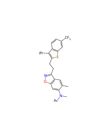 CC(=O)N(C)c1cc2onc(CCc3sc4cc(C(F)(F)F)ccc4c3C(C)C)c2cc1C